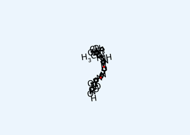 CC(=O)c1c(C)c2cnc(Nc3ccc(N4CCC(CN5CC6CC5CN6c5ccc6c(c5)C(=O)N(C5CCC(=O)NC5=O)C6=O)CC4)cn3)nc2n(C2CCCC2)c1=O